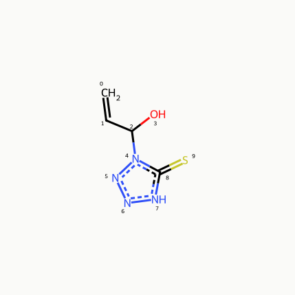 C=CC(O)n1nn[nH]c1=S